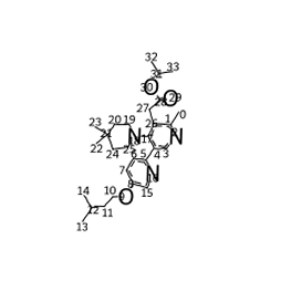 Cc1ncc(-c2ccc(OCCC(C)C)cn2)c(N2CCC(C)(C)CC2)c1CC(=O)OC(C)C